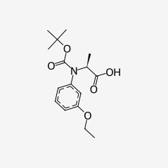 CCOc1cccc(N(C(=O)OC(C)(C)C)[C@@H](C)C(=O)O)c1